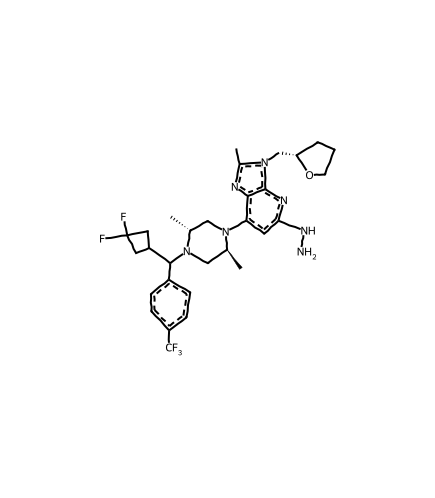 Cc1nc2c(N3C[C@@H](C)N(C(c4ccc(C(F)(F)F)cc4)C4CC(F)(F)C4)C[C@@H]3C)cc(NN)nc2n1C[C@@H]1CCCO1